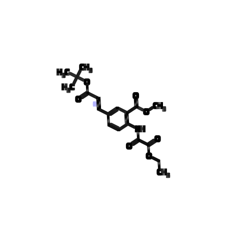 CCOC(=O)C(=O)Nc1ccc(/C=C/C(=O)OC(C)(C)C)cc1C(=O)OC